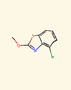 COc1nc2c(Br)cccc2s1